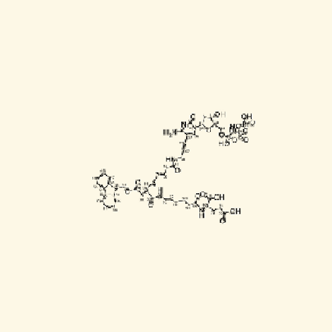 Nc1nc(=O)n([C@H]2CC(O)[C@@H](COP(=O)(O)OP(=O)(O)OP(=O)(O)O)O2)cc1C#CCNC(=O)CCSSCC(NC(=O)OCC1c2ccccc2-c2ccccc21)C(=O)NCCCCCC(=O)NC(CCC(=O)O)C(=O)O